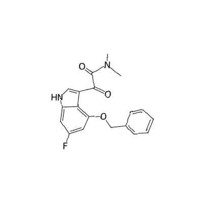 CN(C)C(=O)C(=O)c1c[nH]c2cc(F)cc(OCc3ccccc3)c12